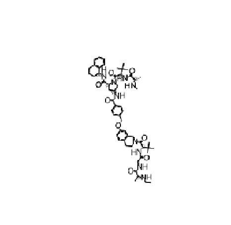 CCN[C@@H](C)C(=O)NCC(=O)N[C@H](C(=O)N1CCc2ccc(OCc3ccc(C(=O)N[C@H]4C[C@@H](C(=O)N[C@@H]5CCCc6ccccc65)N(C(=O)[C@@H](NC(=O)[C@H](C)NC)C(C)(C)C)C4)cc3)cc2C1)C(C)(C)C